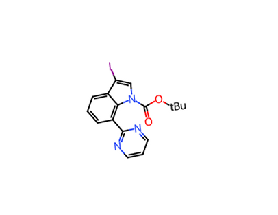 CC(C)(C)OC(=O)n1cc(I)c2cccc(-c3ncccn3)c21